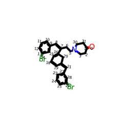 O=C1CCN(CCC(=Cc2cccc(Br)c2)C2=CC=CC(=Cc3cccc(Br)c3)C2)CC1